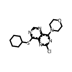 Clc1nc(N2CCOCC2)c2ncnc(SC3CCCCC3)c2n1